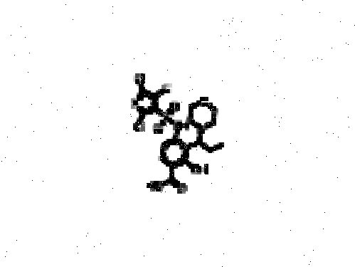 CCC(c1c(NS(=O)(=O)c2c(Cl)sc(Cl)c2Cl)ccc(C(=O)O)c1O)N1CCOCC1